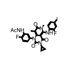 CC(=O)Nc1cc(-n2c(=O)n(C3CC3)c(=O)c3c(Nc4ccc(I)cc4F)n(C)c(=O)c(C)c32)ccc1F